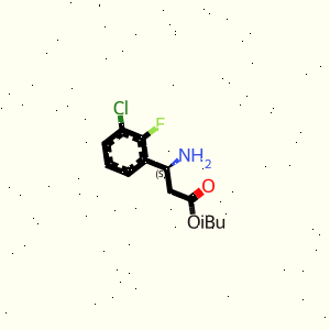 CC(C)COC(=O)C[C@H](N)c1cccc(Cl)c1F